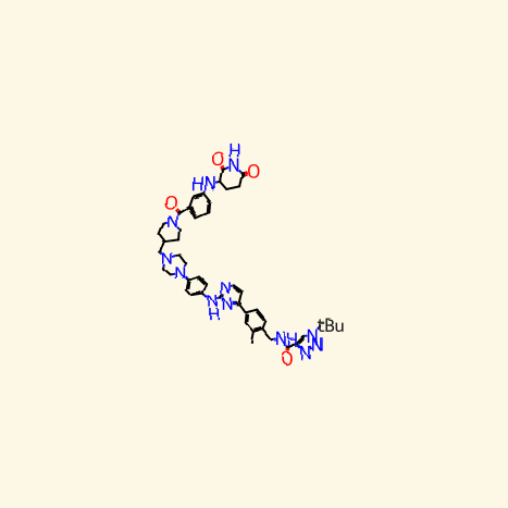 Cc1cc(-c2ccnc(Nc3ccc(N4CCN(CC5CCN(C(=O)c6cccc(NC7CCC(=O)NC7=O)c6)CC5)CC4)cc3)n2)ccc1CNC(=O)c1cn(C(C)(C)C)nn1